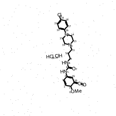 COC1C=CC(NC(=O)NCCCN2CCN(c3ccc(Cl)cc3)CC2)=CC1=C=O.Cl.Cl